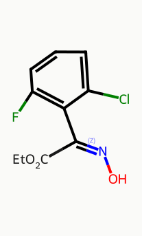 CCOC(=O)/C(=N\O)c1c(F)cccc1Cl